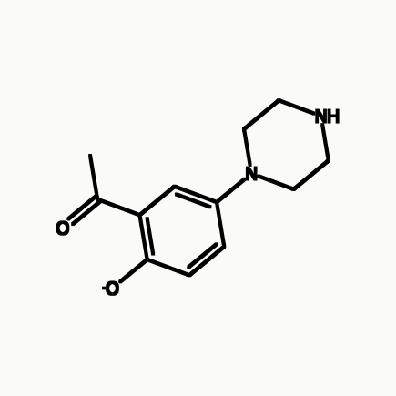 CC(=O)c1cc(N2CCNCC2)ccc1[O]